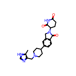 Cc1[nH]cnc1CN1CCC(c2ccc3c(c2)CN(C2CCC(=O)NC2=O)C3=O)CC1